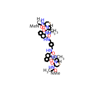 CN[C@@H](C)C(=O)N[C@H]1CCS[C@H]2CC(C)(C)[C@@H](C(=O)N[C@@H]3c4ccccc4CC[C@H]3C(=O)NCc3ccc(CNC(=O)[C@@H]4CCc5ccccc5[C@@H]4NC(=O)[C@H]4N5C(=O)[C@H](NC(=O)[C@H](C)NC)CCS[C@H]5CC4(C)C)cc3)N2C1=O